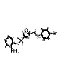 CC(C)(Sc1ccccc1N)c1noc(CSc2ccc(Br)cc2)n1